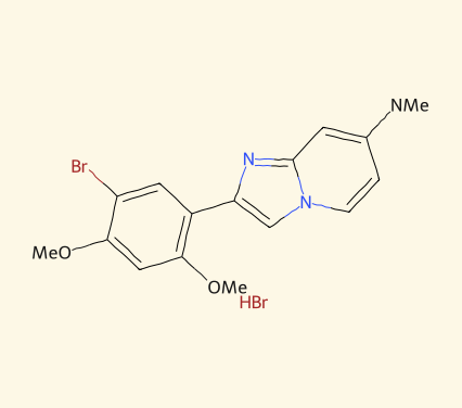 Br.CNc1ccn2cc(-c3cc(Br)c(OC)cc3OC)nc2c1